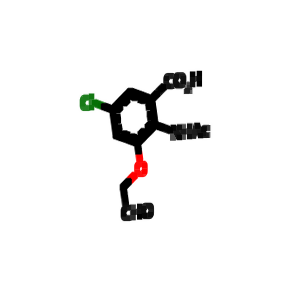 CC(=O)Nc1c(OCC=O)cc(Cl)cc1C(=O)O